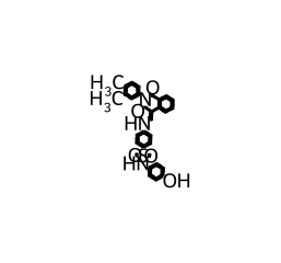 Cc1ccc(N2C(=O)C(=CNc3ccc(S(=O)(=O)Nc4ccc(O)cc4)cc3)c3ccccc3C2=O)cc1C